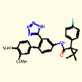 COc1ccc(-c2ccc(NC(=O)C3(c4ccc(F)cc4)CC3(C)C)cc2-c2nnn[nH]2)cc1OC